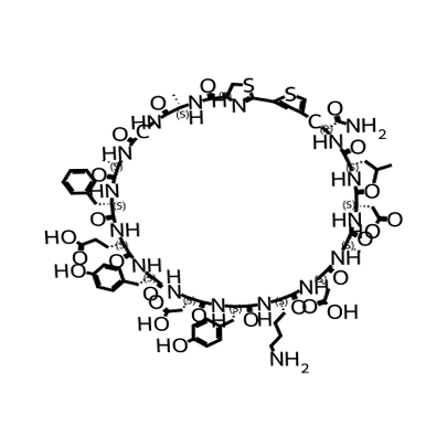 CC(C)C[C@@H]1NC(=O)[C@H](CC(=O)O)NC(=O)[C@H](C)NC(=O)[C@H](CC(=O)O)NC(=O)[C@H](CCCCN)NC(=O)[C@H](Cc2ccc(O)cc2)NC(=O)[C@H](CC(=O)O)NC(=O)[C@H](Cc2ccc(O)cc2)NC(=O)[C@H](CCC(=O)O)NC(=O)[C@H](Cc2ccccc2)NC(=O)[C@H](C)NC(=O)CNC(=O)[C@H](C)NC(=O)[C@@H]2CSC(=N2)c2cc(cs2)C[C@H](C(N)=O)NC1=O